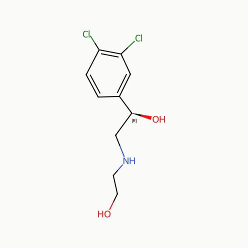 OCCNC[C@H](O)c1ccc(Cl)c(Cl)c1